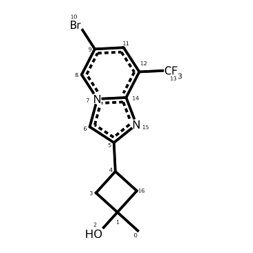 CC1(O)CC(c2cn3cc(Br)cc(C(F)(F)F)c3n2)C1